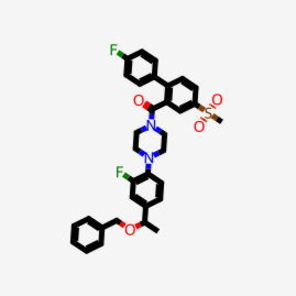 CC(OCc1ccccc1)c1ccc(N2CCN(C(=O)c3cc(S(C)(=O)=O)ccc3-c3ccc(F)cc3)CC2)c(F)c1